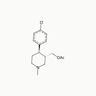 CC(=O)OC[C@@H]1CN(C)CC[C@H]1c1ccc(Cl)cc1